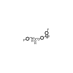 OC(CNCc1ccc(F)cc1)COc1ccc(-c2noc3cc(F)ccc23)cc1